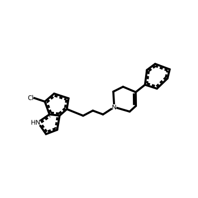 Clc1ccc(CCCN2CC=C(c3ccccc3)CC2)c2cc[nH]c12